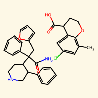 Cc1cc(Cl)cc2c1OCCC2C(=O)O.NC(=O)C(Cc1ccco1)(c1ccccc1)C1CCNCC1c1ccccc1